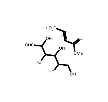 COC(=O)/C=C/C(=O)O.O=CC(O)C(O)C(O)C(O)CO